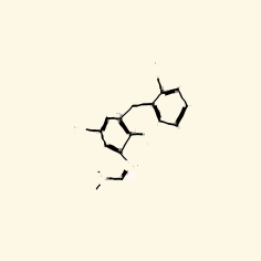 CCN(C)/C=N\c1cc(C)cc(Cc2ccccc2Cl)c1Cl